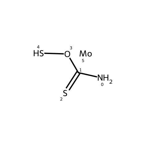 NC(=S)OS.[Mo]